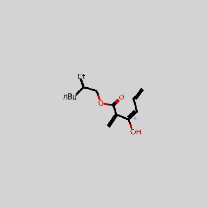 C=C/C=C(/O)C(=C)C(=O)OCC(CC)CCCC